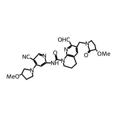 CO[C@@H]1CCN(c2cc(NC(=O)N3CCCc4cc(CN5CC[C@@H](OC)C5=O)c(C=O)nc43)ncc2C#N)C1